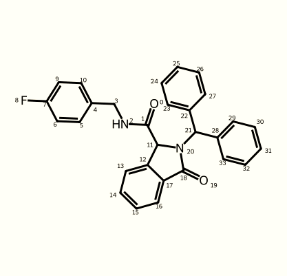 O=C(NCc1ccc(F)cc1)C1c2ccccc2C(=O)N1C(c1ccccc1)c1ccccc1